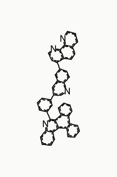 c1cc(-c2cnc3ccc(-c4ccnc5c4ccc4cccnc45)cc3c2)cc(-c2nc3ccccc3c3c4ccccc4c4ccccc4c23)c1